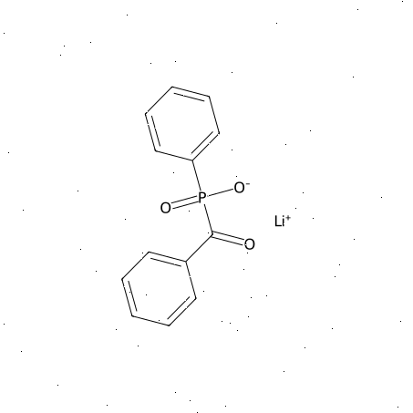 O=C(c1ccccc1)P(=O)([O-])c1ccccc1.[Li+]